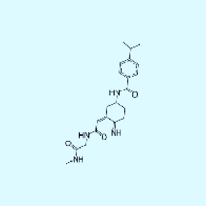 CNC(=O)CNC(=O)/C=C1/CC(NC(=O)c2ccc(C(C)C)cc2)CCC1=N